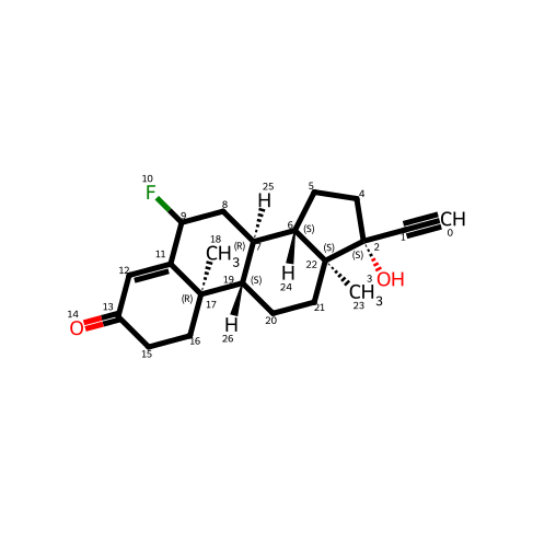 C#C[C@]1(O)CC[C@H]2[C@@H]3CC(F)C4=CC(=O)CC[C@]4(C)[C@H]3CC[C@@]21C